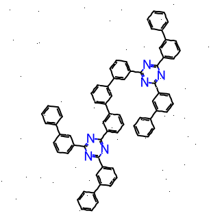 c1ccc(-c2cccc(-c3nc(-c4cccc(-c5ccccc5)c4)nc(-c4cccc(-c5cccc(-c6cccc(-c7nc(-c8cccc(-c9ccccc9)c8)nc(-c8cccc(-c9ccccc9)c8)n7)c6)c5)c4)n3)c2)cc1